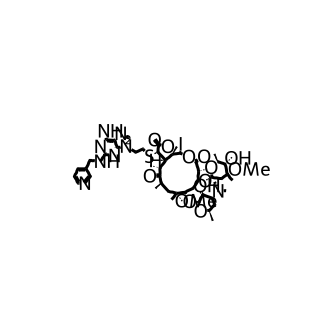 CO[C@]1(C)C[C@@H](C)C(=O)[C@H](C)[C@H]2[C@H](SCCn3cnc4c(N)nc(NCc5cccnc5)nc43)C(=O)O[C@]2(C)[C@@H](I)OC(=O)[C@H](C)[C@@H](O[C@H]2C[C@@](C)(OC)[C@@H](O)[C@H](C)O2)[C@H](C)[C@H]1O[C@@H]1O[C@H](C)C[C@H](N(C)C)[C@H]1O